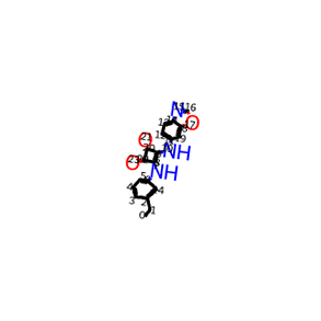 CCc1cccc(Nc2c(Nc3ccc4ncoc4c3)c(=O)c2=O)c1